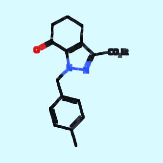 CCOC(=O)c1nn(Cc2ccc(C)cc2)c2c1CCCC2=O